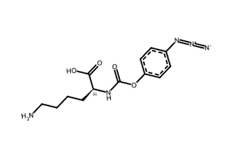 [N-]=[N+]=Nc1ccc(OC(=O)N[C@@H](CCCCN)C(=O)O)cc1